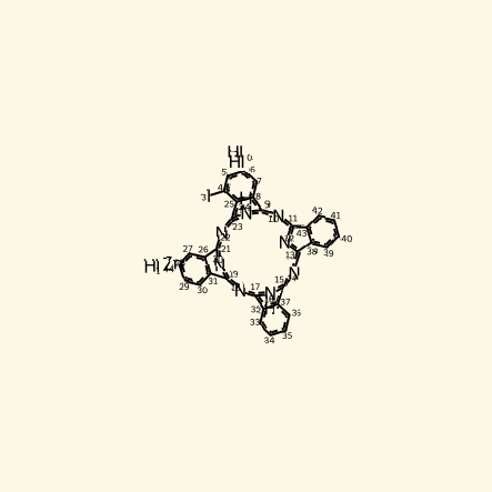 I.I.I.Ic1cccc2c3nc4nc(nc5[nH]c(nc6nc(nc([nH]3)c12)-c1ccccc1-6)c1ccccc51)-c1ccccc1-4.[Zn]